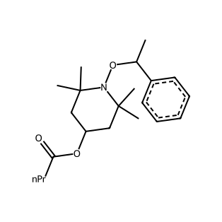 CCCC(=O)OC1CC(C)(C)N(OC(C)c2ccccc2)C(C)(C)C1